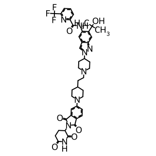 CC(C)(O)c1cc2nn(C3CCN(CCC4CCN(c5ccc6c(c5)C(=O)N(C5CCC(=O)NC5=O)C6=O)CC4)CC3)cc2cc1NC(=O)c1cccc(C(F)(F)F)n1